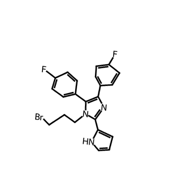 Fc1ccc(-c2nc(-c3ccc[nH]3)n(CCCBr)c2-c2ccc(F)cc2)cc1